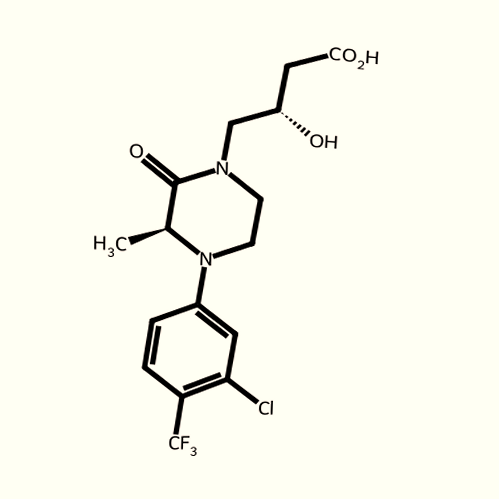 C[C@H]1C(=O)N(C[C@@H](O)CC(=O)O)CCN1c1ccc(C(F)(F)F)c(Cl)c1